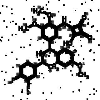 COc1ccc(C(NC(C)c2ccc(F)c(F)c2)c2cc(Nc3c(O)c(=O)c3=O)c(OC)c(OC)c2)cc1